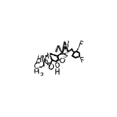 CCN1NCn2cc(-c3nnc(Cc4ccc(F)cc4F)s3)c(=O)c(O)c2C1=O